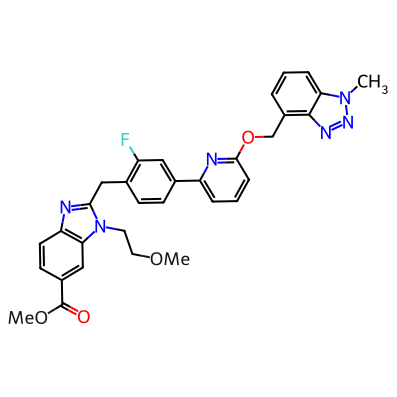 COCCn1c(Cc2ccc(-c3cccc(OCc4cccc5c4nnn5C)n3)cc2F)nc2ccc(C(=O)OC)cc21